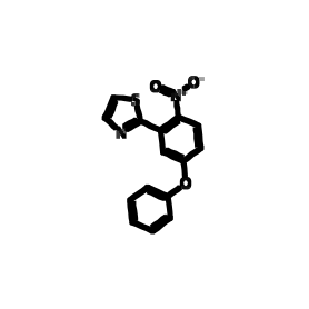 O=[N+]([O-])c1ccc(Oc2ccccc2)cc1-c1nccs1